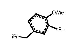 CCC(C)c1cc(CC(C)C)ccc1OC